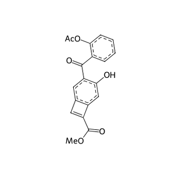 COC(=O)C1=Cc2cc(C(=O)c3ccccc3OC(C)=O)c(O)cc21